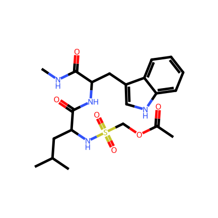 CNC(=O)C(Cc1c[nH]c2ccccc12)NC(=O)C(CC(C)C)NS(=O)(=O)COC(C)=O